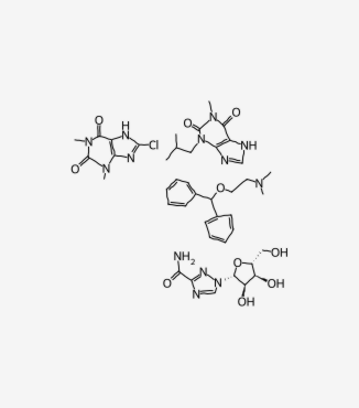 CC(C)Cn1c(=O)n(C)c(=O)c2[nH]cnc21.CN(C)CCOC(c1ccccc1)c1ccccc1.Cn1c(=O)c2[nH]c(Cl)nc2n(C)c1=O.NC(=O)c1ncn([C@@H]2O[C@H](CO)[C@@H](O)[C@H]2O)n1